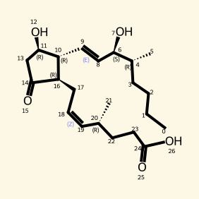 CCCC[C@@H](C)[C@H](O)/C=C/[C@H]1[C@H](O)CC(=O)[C@@H]1C/C=C\[C@H](C)CCC(=O)O